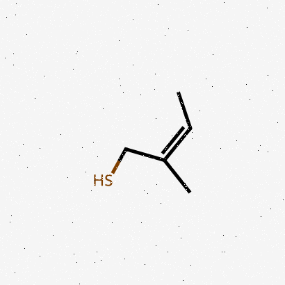 CC=C(C)CS